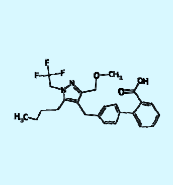 CCCCc1c(Cc2ccc(-c3ccccc3C(=O)O)cc2)c(COC)nn1CC(F)(F)F